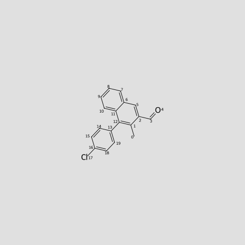 Cc1c(C=O)cc2ccccc2c1-c1ccc(Cl)cc1